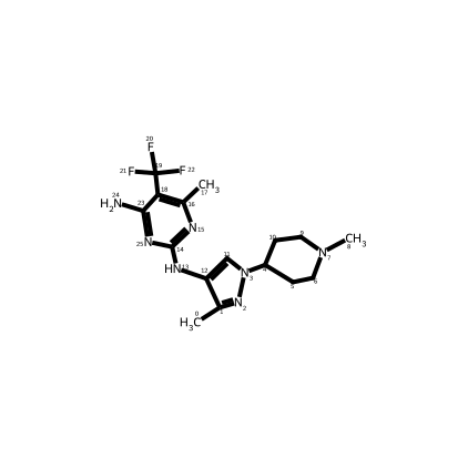 Cc1nn(C2CCN(C)CC2)cc1Nc1nc(C)c(C(F)(F)F)c(N)n1